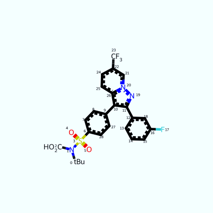 CC(C)(C)N(C(=O)O)S(=O)(=O)c1ccc(-c2c(-c3cccc(F)c3)nn3cc(C(F)(F)F)ccc23)cc1